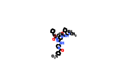 CN(C)CC(NC(=O)N1Cc2c(NC3CCCN(C(=O)c4ccc([N+](=O)[O-])cc4)C3)nn(C(=O)OCc3ccccc3)c2C1(C)C)c1ccccc1